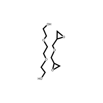 C(OCC1CO1)C1CO1.OCCOCCOCCO